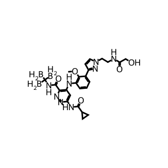 BC(B)(B)NC(=O)c1nnc(NC(=O)C2CC2)cc1Nc1cccc(-c2ccn(CCNC(=O)CO)n2)c1OC